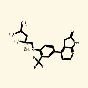 CC(C)C[C@](C)(N)COc1ccc(-c2ccnc3c2CC(=O)N3)cc1C(F)(F)F